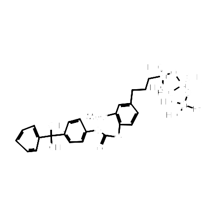 CC[Si](C)(C)O[Si](C)(C)O[Si](C)(C)CCCc1ccc(OC(=O)Oc2ccc(C(C)(C)c3ccccc3)cc2)c(OC)c1